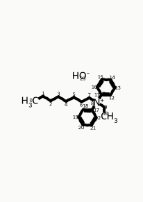 CCCCCCCC[N+](CC)(c1ccccc1)c1ccccc1.[OH-]